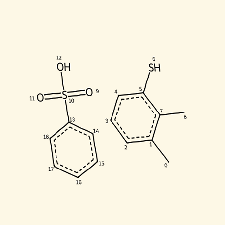 Cc1cccc(S)c1C.O=S(=O)(O)c1ccccc1